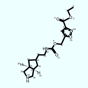 CCOC(=O)c1cc(COC(=O)NCCC2C[C@H]3CNC[C@H]3C2)on1